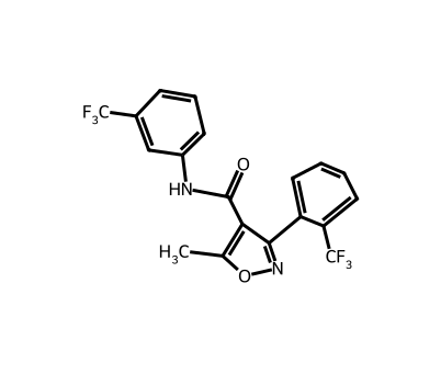 Cc1onc(-c2ccccc2C(F)(F)F)c1C(=O)Nc1cccc(C(F)(F)F)c1